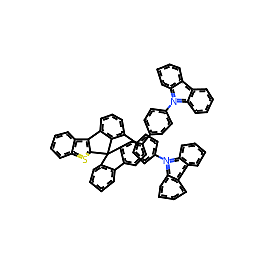 c1ccc2c(c1)-c1ccc(-c3ccc(-n4c5ccccc5c5ccccc54)cc3)cc1C21c2sc3ccccc3c2-c2cccc(-c3ccc(-n4c5ccccc5c5ccccc54)cc3)c21